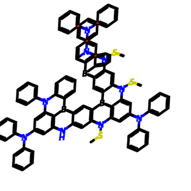 CSN1c2cc3c(cc2B2c4cc5c(cc4N(SC)c4cc(N(c6ccccc6)c6ccccc6)cc1c42)N(SC)c1cc(N(c2ccccc2)c2ccccc2)cc2c1B5c1ccccc1N2c1ccccc1)B1c2ccccc2N(c2ccccc2)c2cc(N(c4ccccc4)c4ccccc4)cc(c21)N3